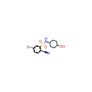 N#Cc1ccc(Br)cc1S(=O)(=O)NC1CCC(O)CC1